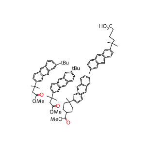 COC(=O)C1CCC(C)(c2ccc3cc4ccccc4cc3c2)CC1.COC(=O)CC(C)(C)c1ccc2cc3cc(C(C)(C)C)ccc3cc2c1.COC(=O)CC(C)(C)c1ccc2cc3ccc(C(C)(C)C)cc3cc2c1.Cc1ccc2cc3cc(C(C)(C)CCCC(=O)O)ccc3cc2c1